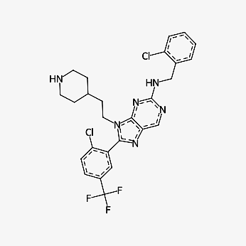 FC(F)(F)c1ccc(Cl)c(-c2nc3cnc(NCc4ccccc4Cl)nc3n2CCC2CCNCC2)c1